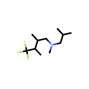 CC(C)CN(C)CC(C)C(C)C(F)(F)F